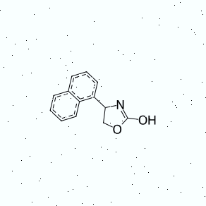 OC1=NC(c2cccc3ccccc23)CO1